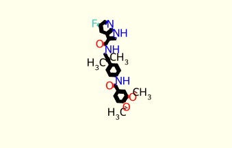 COc1ccc(C(=O)Nc2ccc(C(C)(C)CNC(=O)c3c[nH]c4ncc(F)cc34)cc2)cc1OC